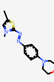 Cc1c[n+](C)c(/N=N/c2ccc(N3CCOCC3)cc2)s1